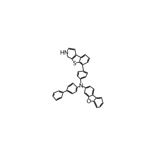 C1=Cc2c(sc3c(-c4ccc(N(c5ccc(-c6ccccc6)cc5)c5ccc6c(c5)oc5ccccc56)cc4)cccc23)CN1